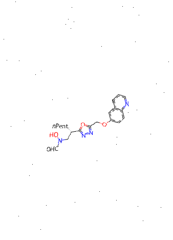 CCCCC[C@@H](CN(O)C=O)c1nnc(COc2ccc3ncccc3c2)o1